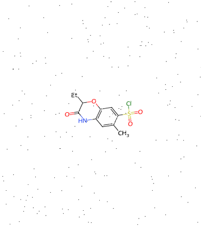 CCC1Oc2cc(S(=O)(=O)Cl)c(C)cc2NC1=O